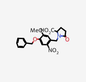 COc1cc(CN2C(=O)CCC2C(=O)O)c([N+](=O)[O-])cc1OCc1ccccc1